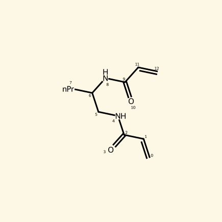 C=CC(=O)NCC(CCC)NC(=O)C=C